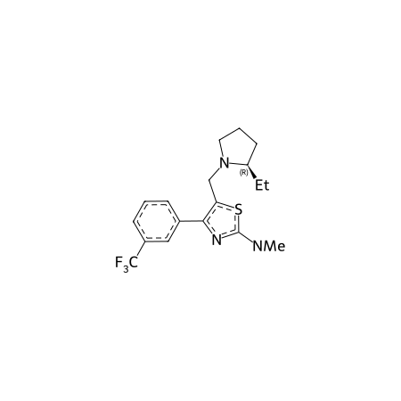 CC[C@@H]1CCCN1Cc1sc(NC)nc1-c1cccc(C(F)(F)F)c1